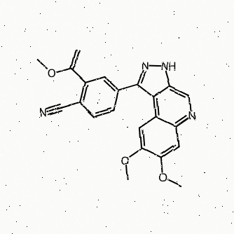 C=C(OC)c1cc(-c2n[nH]c3cnc4cc(OC)c(OC)cc4c23)ccc1C#N